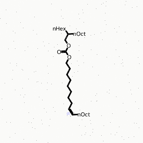 CCCCCCCC/C=C\CCCCCCCCOC(=O)OCC(CCCCCC)CCCCCCCC